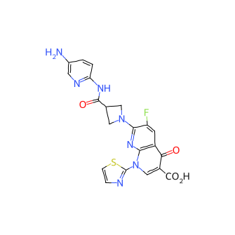 Nc1ccc(NC(=O)C2CN(c3nc4c(cc3F)c(=O)c(C(=O)O)cn4-c3nccs3)C2)nc1